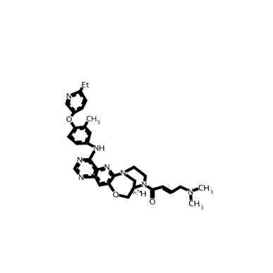 CCc1ccc(Oc2ccc(Nc3ncnc4cc5c(nc34)N3CCN(C(=O)/C=C/CN(C)C)[C@@H](CO5)C3)cc2C)cn1